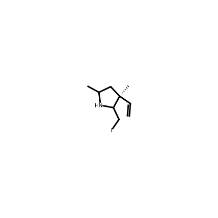 C=C[C@]1(C)CC(C)NC1CI